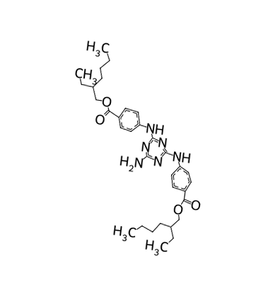 CCCCC(CC)COC(=O)c1ccc(Nc2nc(N)nc(Nc3ccc(C(=O)OCC(CC)CCCC)cc3)n2)cc1